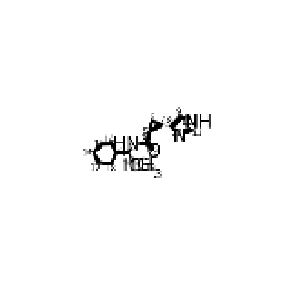 C[C@@H](NC(=O)C1C[C@@H]1c1c[nH]cn1)C1CCCCC1.Cl